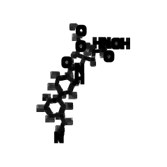 COCOCC(CC(C)C(=O)NO)NC(=O)c1ccc(-c2cccc(CC#N)c2)cc1